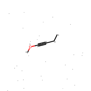 [CH2]OC#CCC